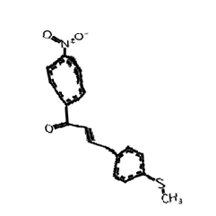 CSc1ccc(C=CC(=O)c2ccc([N+](=O)[O-])cc2)cc1